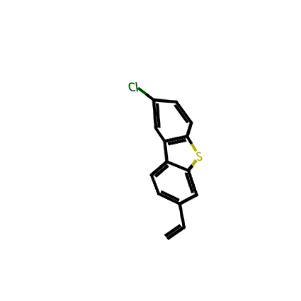 C=Cc1ccc2c(c1)sc1ccc(Cl)cc12